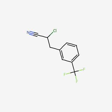 N#CC(Cl)Cc1cccc(C(F)(F)F)c1